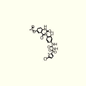 CS(=O)Oc1ccc2[nH]c(=O)n(-c3ccc(NC(=O)NS(=O)(=O)c4ccc(Cl)s4)cc3Cl)c(=O)c2c1